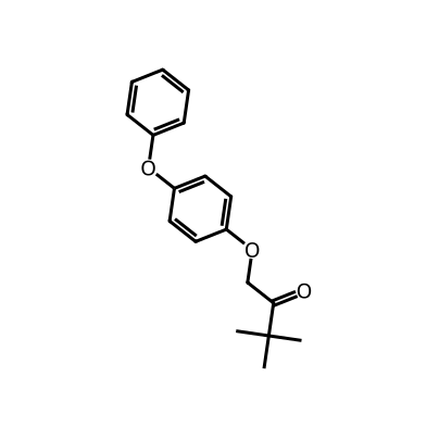 CC(C)(C)C(=O)COc1ccc(Oc2ccccc2)cc1